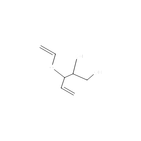 C=COC(C=C)C(O)CO